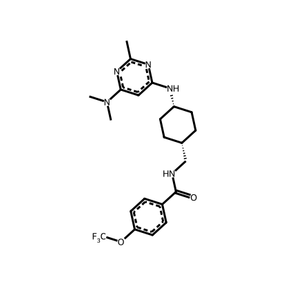 Cc1nc(N[C@H]2CC[C@@H](CNC(=O)c3ccc(OC(F)(F)F)cc3)CC2)cc(N(C)C)n1